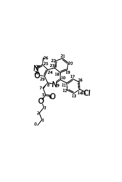 CCCCOC(=O)C[C@@H]1N=C(c2ccc(Cl)cc2)c2ccccc2-c2c(C)noc21